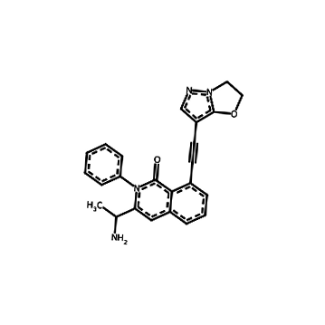 CC(N)c1cc2cccc(C#Cc3cnn4c3OCC4)c2c(=O)n1-c1ccccc1